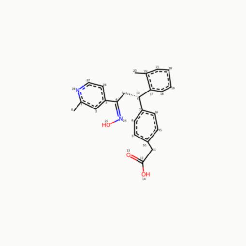 Cc1cc(C(C[C@@H](c2ccc(CC(=O)O)cc2)c2ccccc2C)=NO)ccn1